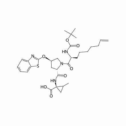 C=CCCCCC[C@H](NC(=O)OC(C)(C)C)C(=O)N1C[C@H](Oc2nc3ccccc3s2)C[C@H]1C(=O)N[C@]1(C(=O)O)CC1C